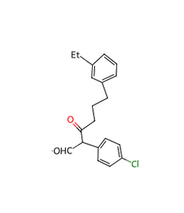 CCc1cccc(CCCC(=O)C([C]=O)c2ccc(Cl)cc2)c1